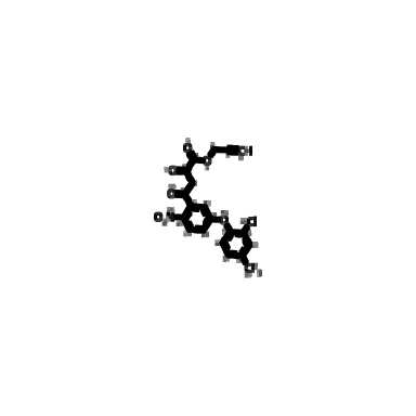 C#CCOC(=O)C(=O)CC(=O)c1cc(Oc2ccc(C(F)(F)F)cc2Cl)ccc1[N+](=O)[O-]